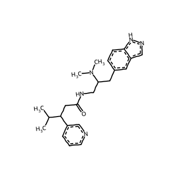 CC(C)C(CC(=O)NCC(Cc1ccc2[nH]ncc2c1)N(C)C)c1cccnc1